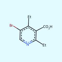 CCc1ncc(Br)c(CC)c1C(=O)O